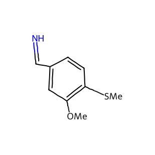 COc1cc(C=N)ccc1SC